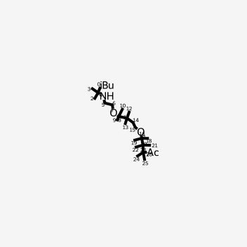 CCC(C)C(C)(C)NCCOC(C)(C)C(C)(C)CCOC(C)(C)C(C)(C)C(C)(C)C(C)=O